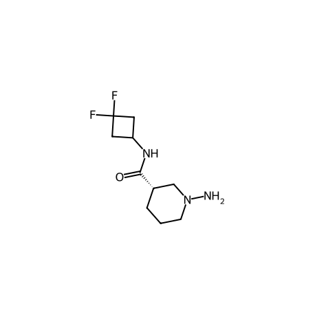 NN1CCC[C@H](C(=O)NC2CC(F)(F)C2)C1